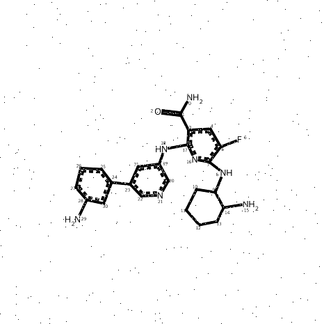 NC(=O)c1cc(F)c(NC2CCCCC2N)nc1Nc1cncc(-c2cccc(N)c2)c1